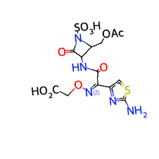 CC(=O)OCC1C(NC(=O)/C(=N\OCC(=O)O)c2csc(N)n2)C(=O)N1S(=O)(=O)O